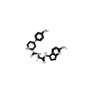 C[C@H](NC(=O)[C@H]1C[C@H](c2ccc(C(C)(C)C)cc2)CCN1)C(=O)NC1CCc2nc(N)ccc21